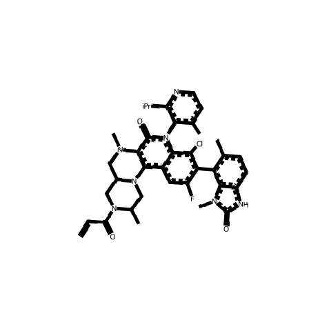 C=CC(=O)N1CC2CN(C)c3c(c4cc(F)c(-c5c(C)ccc6[nH]c(=O)n(C)c56)c(Cl)c4n(-c4c(C)ccnc4C(C)C)c3=O)N2CC1C